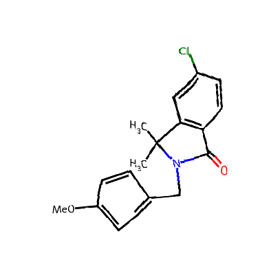 COc1ccc(CN2C(=O)c3ccc(Cl)cc3C2(C)C)cc1